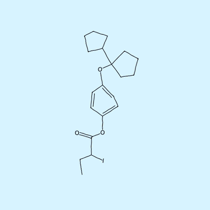 CCC(I)C(=O)Oc1ccc(OC2(C3CCCC3)CCCC2)cc1